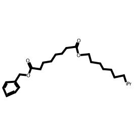 CC(C)CCCCCCCOC(=O)CCCCCCC(=O)OCc1ccccc1